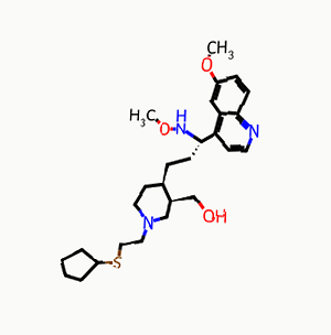 CON[C@@H](CC[C@@H]1CCN(CCSC2CCCC2)C[C@@H]1CO)c1ccnc2ccc(OC)cc12